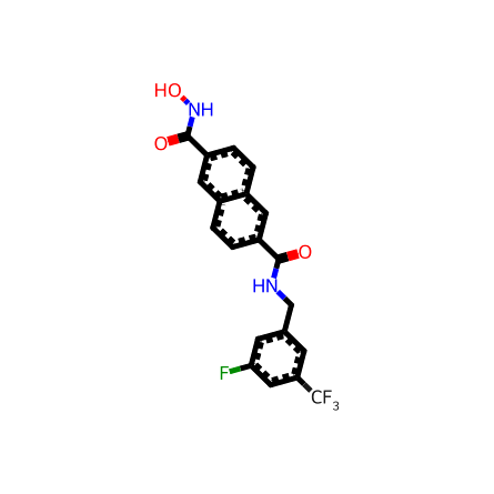 O=C(NO)c1ccc2cc(C(=O)NCc3cc(F)cc(C(F)(F)F)c3)ccc2c1